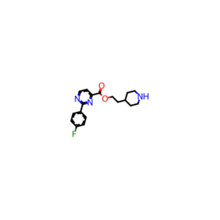 O=C(OCCC1CCNCC1)c1ccnc(-c2ccc(F)cc2)n1